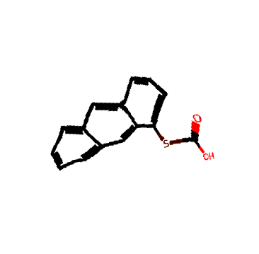 O=C(O)Sc1cccc2cc3ccccc3cc12